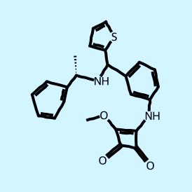 COc1c(Nc2cccc(C(N[C@@H](C)c3ccccc3)c3cccs3)c2)c(=O)c1=O